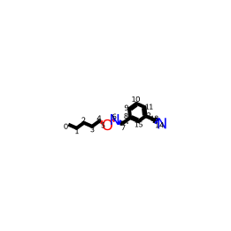 CCCCCO/N=[C]/c1cccc(C#N)c1